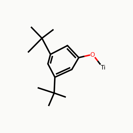 CC(C)(C)c1cc([O][Ti])cc(C(C)(C)C)c1